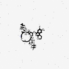 CC[C@@H]1C[C@H](C)CC/C=C\C2C[C@@]2(C(=O)NS(=O)(=O)C2(C)CC2)NC(=O)[C@@H]2C[C@@H](Oc3nc4c(c5cc(OC)c(F)cc35)CCCO4)CN2C(=O)[C@H]1NC(=O)OC(C)(C)C(F)(F)F